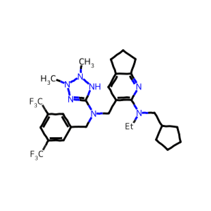 CCN(CC1CCCC1)c1nc2c(cc1CN(Cc1cc(C(F)(F)F)cc(C(F)(F)F)c1)C1=NN(C)N(C)N1)CCC2